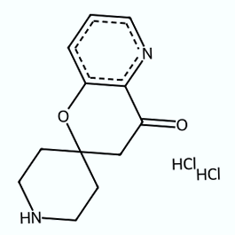 Cl.Cl.O=C1CC2(CCNCC2)Oc2cccnc21